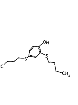 CCCCSc1ccc(O)c(SCCCC)c1